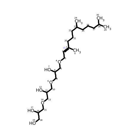 C/C(=C\COCC(O)COCC(O)COCC(O)CO)CCCC(C)CCCC(C)C